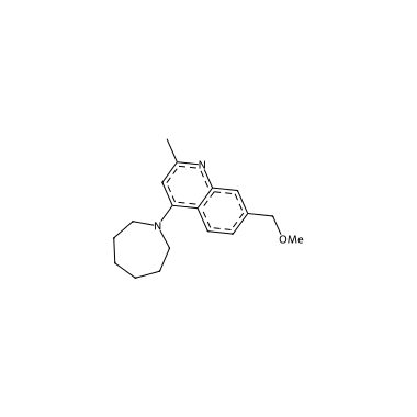 COCc1ccc2c(N3CCCCCC3)cc(C)nc2c1